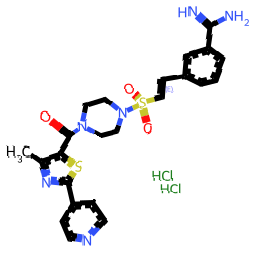 Cc1nc(-c2ccncc2)sc1C(=O)N1CCN(S(=O)(=O)/C=C/c2cccc(C(=N)N)c2)CC1.Cl.Cl